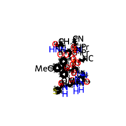 [C-]#[N+]CCOP(OC[C@H]1O[C@@H](n2cc(C)c(=O)[nH]c2=O)CC1OP(OCCC#N)N(C(C)C)C(C)C)OC1C[C@H](n2cnc3c(=O)[nH]c(NC(=O)CCNC(=O)c4ccsc4)nc32)O[C@@H]1COC(c1ccccc1)(c1ccc(OC)cc1)c1ccc(OC)cc1